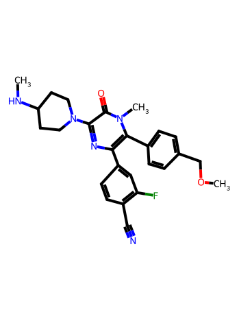 CNC1CCN(c2nc(-c3ccc(C#N)c(F)c3)c(-c3ccc(COC)cc3)n(C)c2=O)CC1